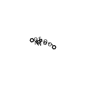 c1ccc(COC[C@@H]2CC[C@H](c3csc4c(Oc5ccccc5)ncnc34)O2)cc1